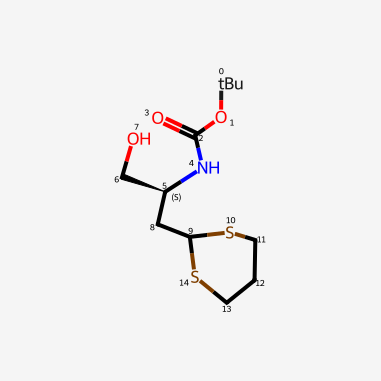 CC(C)(C)OC(=O)N[C@H](CO)CC1SCCCS1